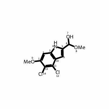 COc1cc2[nH]c(C(O)OC)cc2c(Cl)c1Cl